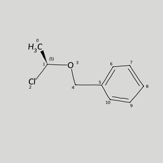 C[C@H](Cl)OCc1ccccc1